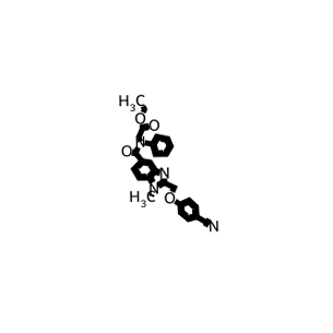 CCOC(=O)CN(C(=O)c1ccc2c(c1)nc(COc1ccc(C#N)cc1)n2C)c1ccccc1